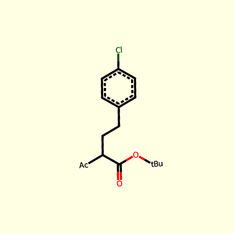 CC(=O)C(CCc1ccc(Cl)cc1)C(=O)OC(C)(C)C